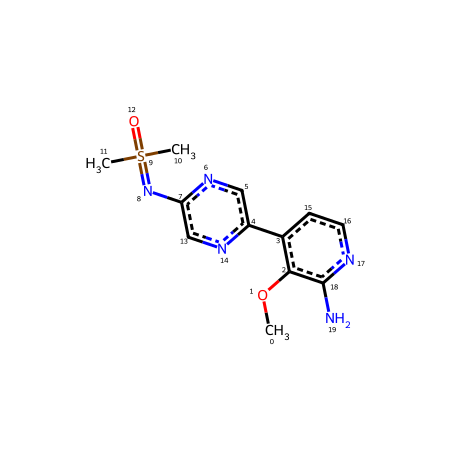 COc1c(-c2cnc(N=S(C)(C)=O)cn2)ccnc1N